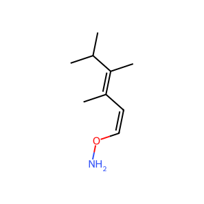 CC(/C=C\ON)=C(/C)C(C)C